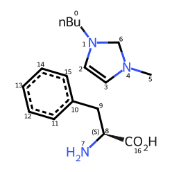 CCCCN1C=CN(C)C1.N[C@@H](Cc1ccccc1)C(=O)O